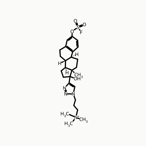 C[C@]12CC[C@@H]3c4ccc(OS(=O)(=O)F)cc4CC[C@H]3[C@@H]1CCC2(O)c1cn(CCC[N+](C)(C)C)nn1